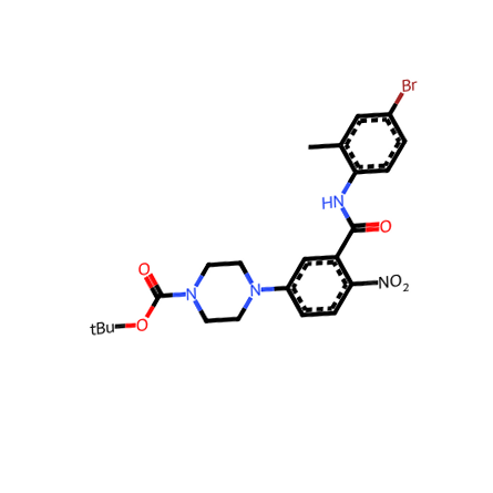 Cc1cc(Br)ccc1NC(=O)c1cc(N2CCN(C(=O)OC(C)(C)C)CC2)ccc1[N+](=O)[O-]